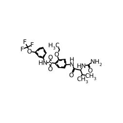 CCOc1cc(NC(=O)[C@@H](NC(N)=O)C(C)C)ccc1S(=O)(=O)Nc1cccc(OC(F)(F)F)c1